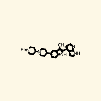 CCN1CCC(N2CCC(c3ccc4[nH]c(-c5ccnc6[nH]ccc56)c(C)c4c3)CC2)CC1